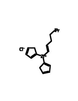 CC(C)CC/C=[CH]/[Zr+]([C]1=CC=CC1)[C]1=CC=CC1.[Cl-]